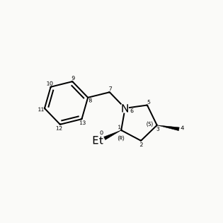 CC[C@@H]1C[C@H](C)CN1Cc1ccccc1